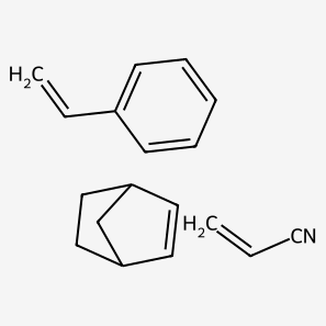 C1=CC2CCC1C2.C=CC#N.C=Cc1ccccc1